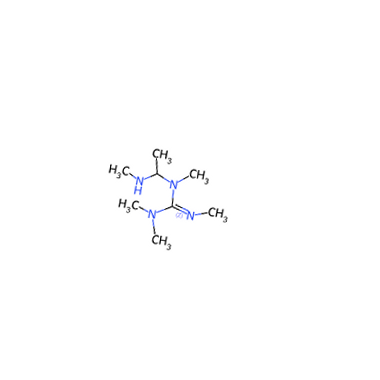 C/N=C(/N(C)C)N(C)C(C)NC